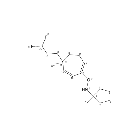 CCC(C)(CC)NOC1=CCC[C@](C)(CCC(F)F)C=C1